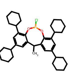 CC1c2cc(C3CCCCC3)cc(C3CCCCC3)c2OP(Cl)Oc2c(C3CCCCC3)cc(C3CCCCC3)cc21